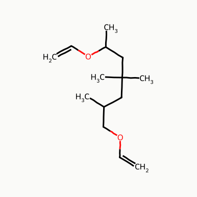 C=COCC(C)CC(C)(C)CC(C)OC=C